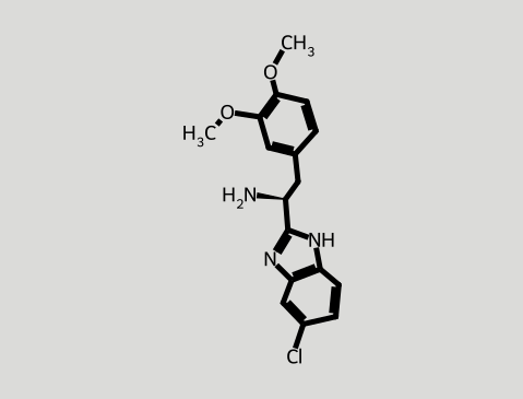 COc1ccc(C[C@H](N)c2nc3cc(Cl)ccc3[nH]2)cc1OC